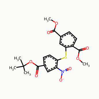 COC(=O)c1ccc(C(=O)OC)c(Sc2ccc(C(=O)OC(C)(C)C)cc2[N+](=O)[O-])c1